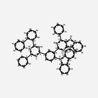 c1ccc(-c2nc(-c3ccc(-n4c5ccccc5c5ccccc54)c(-c4nc(-c5ccccc5)c5sc6ccccc6c5n4)c3)nc(-c3ccccc3-c3ccccc3)n2)cc1